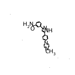 CN1CCN(c2ccc(-c3cc(-c4cccc(C(N)=O)c4)n[nH]3)cc2)CC1